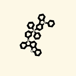 c1ccc(-n2c3ccccc3c3cc([Si](c4ccccc4)(c4ccccc4)c4cccc(-n5c6ccccc6c6c7oc8ccccc8c7ccc65)c4)ccc32)cc1